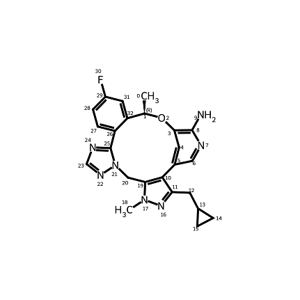 C[C@H]1Oc2cc(cnc2N)-c2c(CC3CC3)nn(C)c2Cn2ncnc2-c2ccc(F)cc21